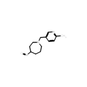 Cc1ccc(CN2CCCC(N=O)CC2)cn1